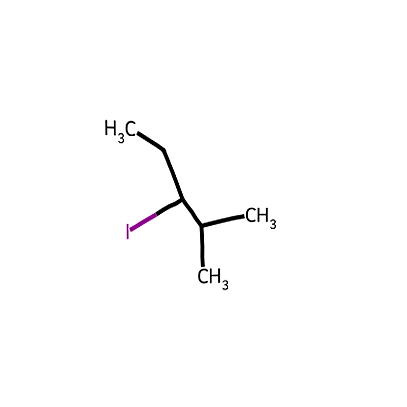 CCC(I)C(C)C